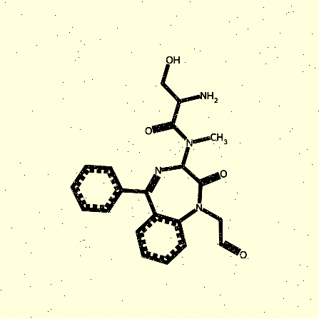 CN(C(=O)C(N)CO)C1N=C(c2ccccc2)c2ccccc2N(C[C]=O)C1=O